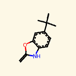 C=C1Nc2ccc(C(C)(C)C)cc2O1